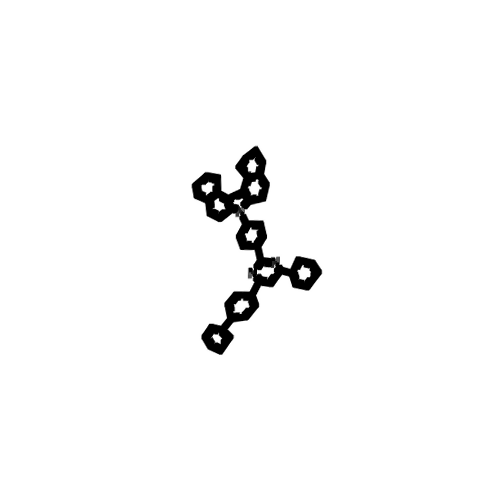 c1ccc(-c2ccc(-c3cc(-c4ccccc4)nc(-c4ccc(-n5c6ccc7ccccc7c6c6c7ccccc7ccc65)cc4)n3)cc2)cc1